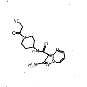 N#CCC(=O)N1CCC(NC(=O)c2c(N)nn3cccnc23)CC1